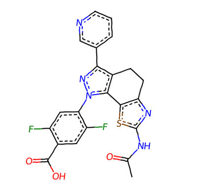 CC(=O)Nc1nc2c(s1)-c1c(c(-c3cccnc3)nn1-c1cc(F)c(C(=O)O)cc1F)CC2